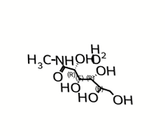 CNC(=O)[C@H](O)[C@@H](O)[C@H](O)[C@H](O)CO.O